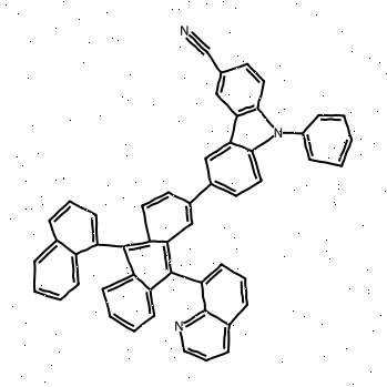 N#Cc1ccc2c(c1)c1cc(-c3ccc4c(-c5cccc6ccccc56)c5ccccc5c(-c5cccc6cccnc56)c4c3)ccc1n2-c1ccccc1